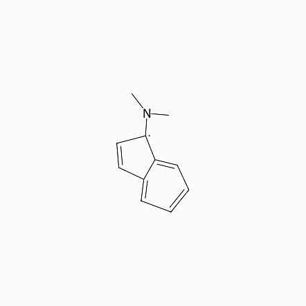 CN(C)[C]1C=Cc2ccccc21